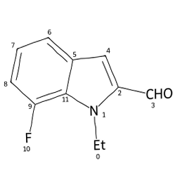 CCn1c(C=O)cc2cccc(F)c21